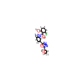 COc1cccc(F)c1C(=O)Nc1cccc(-c2nnc(-c3ccco3)o2)c1